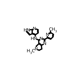 Cc1cccc(-c2nc3c(c(Nc4ccnc5[nH]ccc45)n2)CN(C)CC3)n1